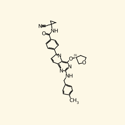 Cc1ccc(CNc2nc(O[C@H]3CCOC3)c3nc(-c4ccc(C(=O)NC5(C#N)CC5)cc4)ccc3n2)cc1